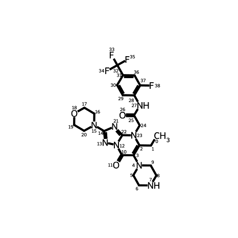 CCc1c(N2CCNCC2)c(=O)n2nc(N3CCOCC3)nc2n1CC(=O)Nc1ccc(C(F)(F)F)cc1F